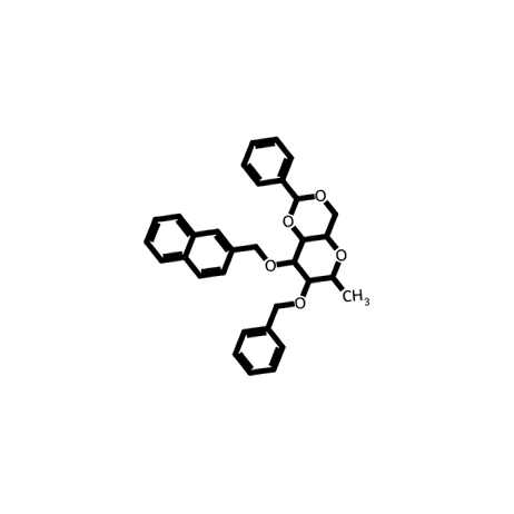 CC1OC2COC(c3ccccc3)OC2C(OCc2ccc3ccccc3c2)C1OCc1ccccc1